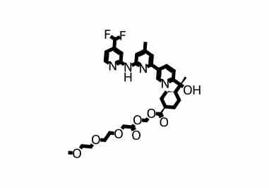 COCCOCCOCC(=O)OCOC(=O)[C@H]1CC[C@H]([C@@](C)(O)c2ccc(-c3cc(C)cc(Nc4cc(C(F)F)ccn4)n3)cn2)CC1